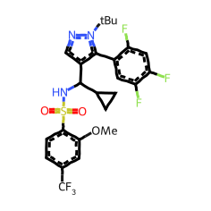 COc1cc(C(F)(F)F)ccc1S(=O)(=O)NC(c1cnn(C(C)(C)C)c1-c1cc(F)c(F)cc1F)C1CC1